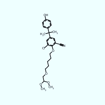 COC(COCCCCCOc1c(Cl)cc(C(C)(C)c2ccc(O)cc2)cc1C#N)OC